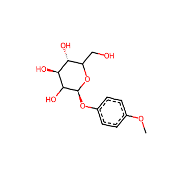 COc1ccc(O[C@@H]2OC(CO)[C@@H](O)[C@H](O)C2O)cc1